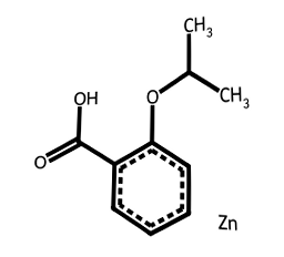 CC(C)Oc1ccccc1C(=O)O.[Zn]